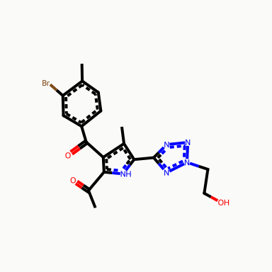 CC(=O)c1[nH]c(-c2nnn(CCO)n2)c(C)c1C(=O)c1ccc(C)c(Br)c1